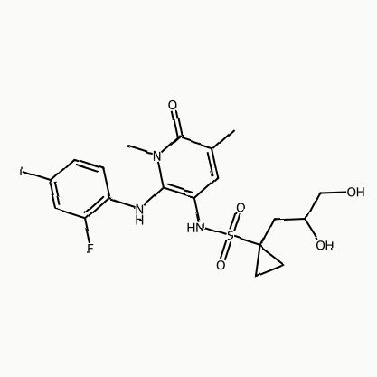 Cc1cc(NS(=O)(=O)C2(CC(O)CO)CC2)c(Nc2ccc(I)cc2F)n(C)c1=O